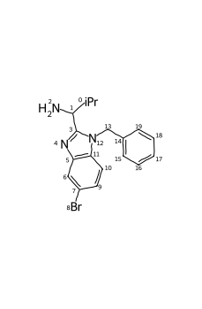 CC(C)C(N)c1nc2cc(Br)ccc2n1Cc1ccccc1